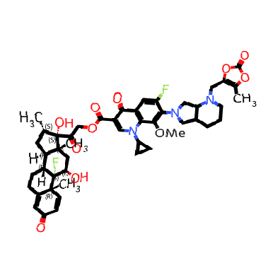 COc1c(N2CC3CCCN(Cc4oc(=O)oc4C)C3C2)c(F)cc2c(=O)c(C(=O)OCC(=O)[C@]3(O)[C@@H](C)C[C@@H]4[C@H]5CCC6=CC(=O)C=C[C@@]6(C)[C@]5(F)[C@H](O)C[C@]43C)cn(C3CC3)c12